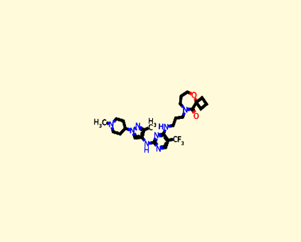 Cc1nn(C2CCN(C)CC2)cc1Nc1ncc(C(F)(F)F)c(NCCCN2CCCOC3(CCC3)C2=O)n1